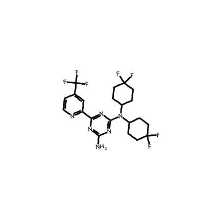 Nc1nc(-c2cc(C(F)(F)F)ccn2)nc(N(C2CCC(F)(F)CC2)C2CCC(F)(F)CC2)n1